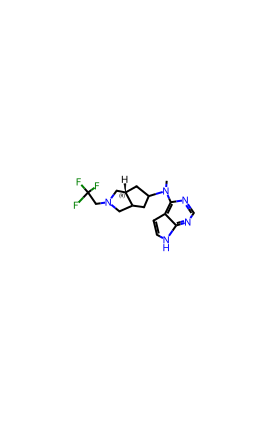 CN(c1ncnc2[nH]ccc12)C1CC2CN(CC(F)(F)F)C[C@@H]2C1